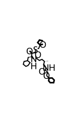 C[C@@H](CCC(=O)N[C@@H](CC1CCCCC1)C(=O)CSCc1ccco1)CNC(=O)COc1ccccc1